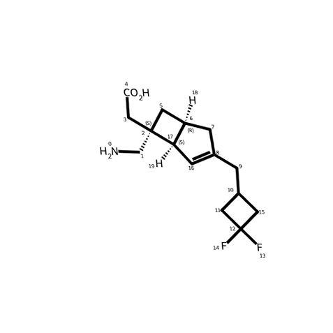 NC[C@]1(CC(=O)O)C[C@H]2CC(CC3CC(F)(F)C3)=C[C@H]21